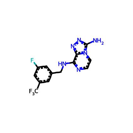 Nc1nnc2c(NCc3cc(F)cc(C(F)(F)F)c3)nccn12